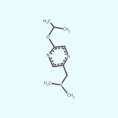 CC(C)Oc1cnc(CN(C)C)cn1